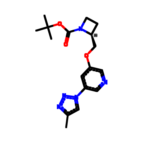 Cc1cn(-c2cncc(OC[C@@H]3CCN3C(=O)OC(C)(C)C)c2)nn1